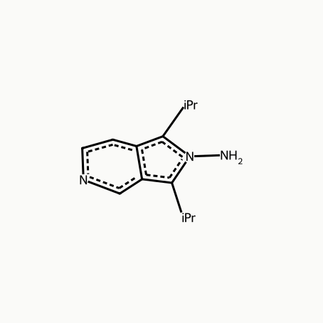 CC(C)c1c2ccncc2c(C(C)C)n1N